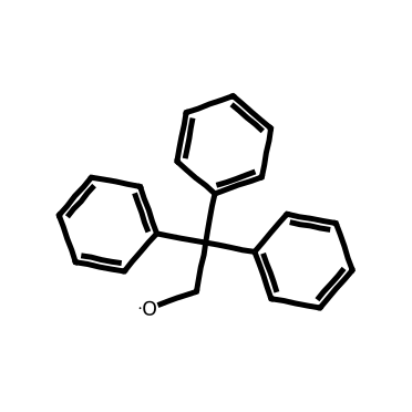 [O]CC(c1ccccc1)(c1ccccc1)c1ccccc1